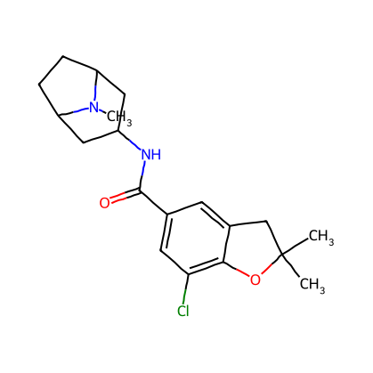 CN1C2CCC1CC(NC(=O)c1cc(Cl)c3c(c1)CC(C)(C)O3)C2